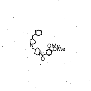 COc1ccc(C(=O)N2CCC(CN3CCC(Cc4ccccc4)CC3)CC2)cc1OC